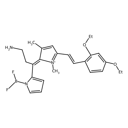 CCOc1ccc(/C=C/C2=[N+](C)C(=C(/CCN)c3cccn3B(F)F)/C(C)=C2)c(OCC)c1